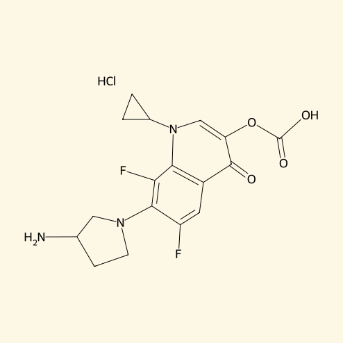 Cl.NC1CCN(c2c(F)cc3c(=O)c(OC(=O)O)cn(C4CC4)c3c2F)C1